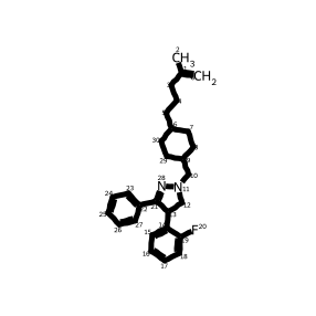 C=C(C)CCCC1CCC(CN2CC(c3ccccc3F)C(c3ccccc3)=N2)CC1